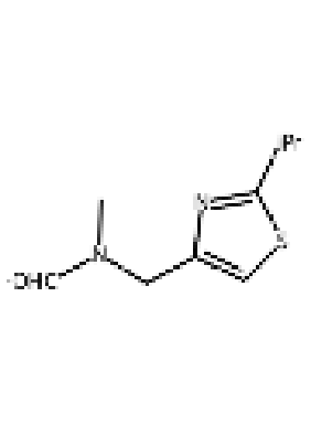 CC(C)c1nc(CN(C)[C]=O)cs1